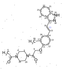 CC(=O)N1CCN(C(=O)COc2ccc(/C=C/c3n[nH]c4ccccc34)cc2C)CC1